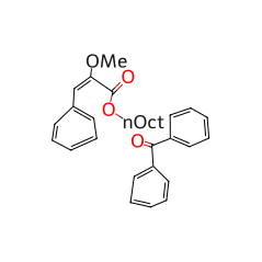 CCCCCCCCOC(=O)C(=Cc1ccccc1)OC.O=C(c1ccccc1)c1ccccc1